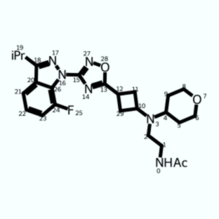 CC(=O)NCCN(C1CCOCC1)C1CC(c2nc(-n3nc(C(C)C)c4cccc(F)c43)no2)C1